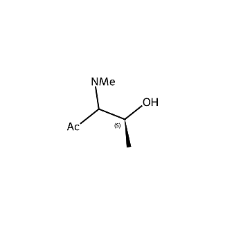 CNC(C(C)=O)[C@H](C)O